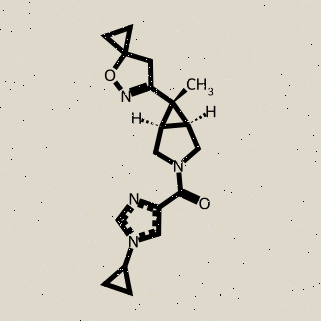 C[C@]1(C2=NOC3(CC3)C2)[C@@H]2CN(C(=O)c3cn(C4CC4)cn3)C[C@@H]21